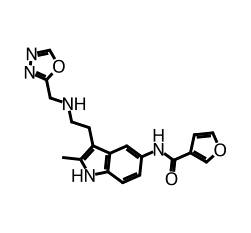 Cc1[nH]c2ccc(NC(=O)c3ccoc3)cc2c1CCNCc1nnco1